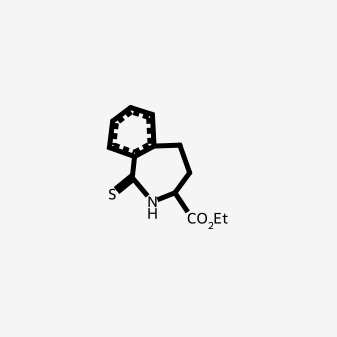 CCOC(=O)C1CCc2ccccc2C(=S)N1